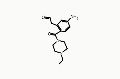 CCN1CCN(C(=O)c2ccc(N)cc2CC=O)CC1